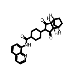 O=C(Nc1cccc2cccnc12)C1CCC(C2C(=O)[C@@H]3[C@@H]4CC[C@@H](C4)[C@@H]3C2=O)CC1